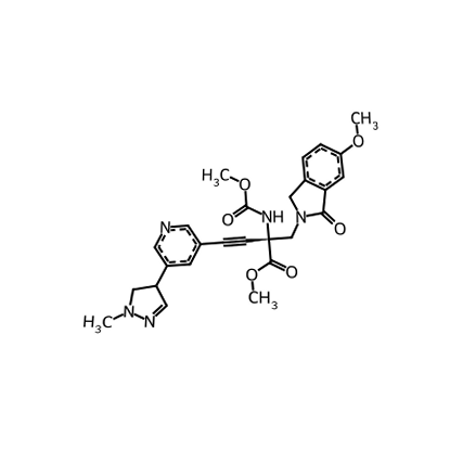 COC(=O)N[C@](C#Cc1cncc(C2C=NN(C)C2)c1)(CN1Cc2ccc(OC)cc2C1=O)C(=O)OC